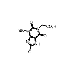 CCCCn1c(=O)n(CC(=O)O)c(=O)c2[nH]c(Cl)nc21